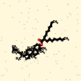 CCCCCCCCC(CCCCCCCC)C(=O)OC1CC[C@]2(C)C3=C(CCC2C1(C)C)[C@]1(C)CC[C@H]([C@H](C)CCC=C(C)C)[C@@]1(C)CC3